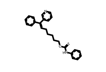 S=C(Nc1ccccc1)OCCCCCC=C(c1ccccc1)c1cccnc1